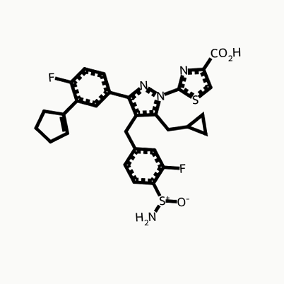 N[S+]([O-])c1ccc(Cc2c(-c3ccc(F)c(C4=CCCC4)c3)nn(-c3nc(C(=O)O)cs3)c2CC2CC2)cc1F